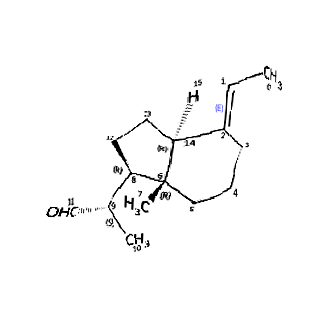 C/C=C1\CCC[C@]2(C)[C@@H]([C@H](C)C=O)CC[C@@H]12